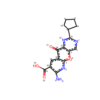 Nc1nc2oc3cnc(C4CCCC4)nc3c(=O)c2cc1C(=O)O